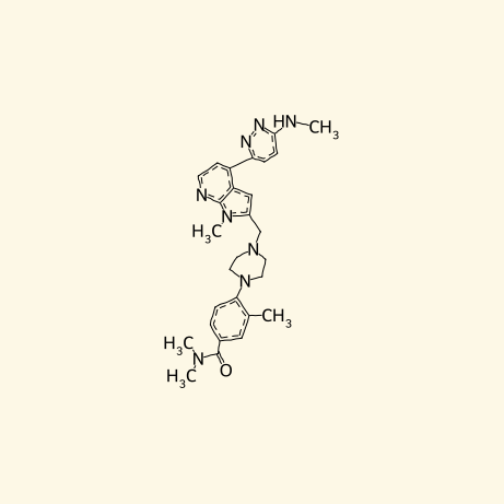 CNc1ccc(-c2ccnc3c2cc(CN2CCN(c4ccc(C(=O)N(C)C)cc4C)CC2)n3C)nn1